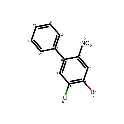 O=[N+]([O-])c1cc(Br)c(Cl)cc1-c1ccccc1